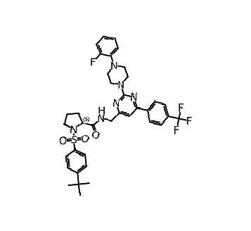 CC(C)(C)c1ccc(S(=O)(=O)N2CCC[C@H]2C(=O)NCc2cc(-c3ccc(C(F)(F)F)cc3)nc(N3CCN(c4ccccc4F)CC3)n2)cc1